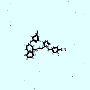 N#Cc1ccc(Cn2cncc2CCNC2CN(Cc3cccc(Cl)c3)CCc3ccccc32)cc1